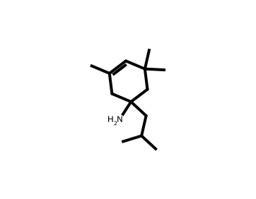 CC1=CC(C)(C)CC(N)(CC(C)C)C1